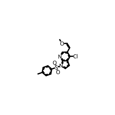 CO/C=C\c1cnc2c(ccn2S(=O)(=O)c2ccc(C)cc2)c1Cl